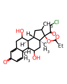 CCC(=O)O[C@]1(C(=O)CCl)C(C)C[C@H]2[C@@H]3C(O)CC4=CC(=O)C=C[C@]4(C)[C@H]3C(O)C[C@@]21C